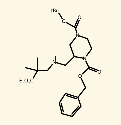 CCOC(=O)C(C)(C)CNCC1CN(C(=O)OC(C)(C)C)CCN1C(=O)OCc1ccccc1